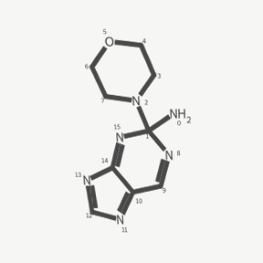 NC1(N2CCOCC2)N=CC2=NC=NC2=N1